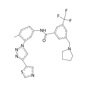 Cc1ccc(NC(=O)c2cc(CN3CCCC3)cc(C(F)(F)F)c2)cc1-n1cc(-c2cncs2)nn1